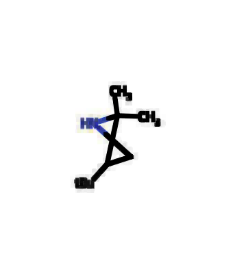 CC(C)(C)C1CC12NC2(C)C